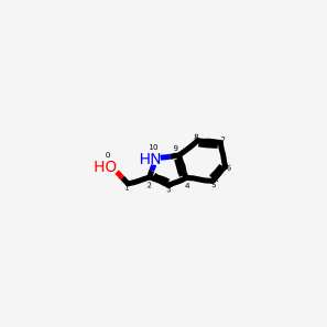 OCc1cc2[c]cccc2[nH]1